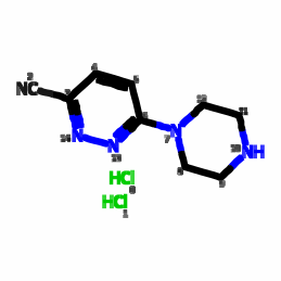 Cl.Cl.N#Cc1ccc(N2CCNCC2)nn1